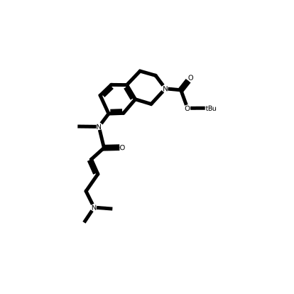 CN(C)C/C=C/C(=O)N(C)c1ccc2c(c1)CN(C(=O)OC(C)(C)C)CC2